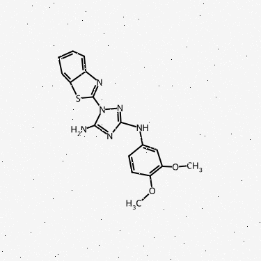 COc1ccc(Nc2nc(N)n(-c3nc4ccccc4s3)n2)cc1OC